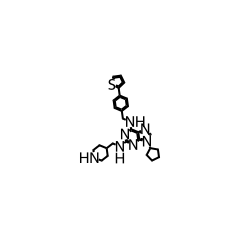 c1csc(-c2ccc(CNc3nc(NCC4CCNCC4)nc4c3ncn4C3CCCC3)cc2)c1